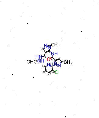 Bc1cc(C(=O)Nc2c(CNNC=O)cnn2C)n(-c2ncccc2Cl)n1